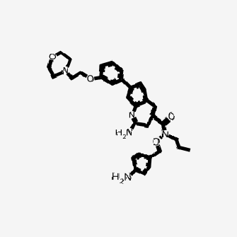 CCCN(OCc1ccc(N)cc1)C(=O)C1=Cc2ccc(-c3cccc(OCCN4CCOCC4)c3)cc2N=C(N)C1